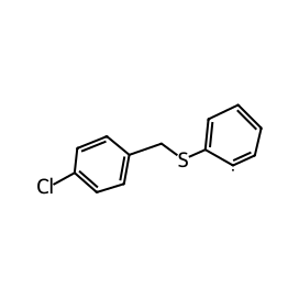 Clc1ccc(CSc2[c]cccc2)cc1